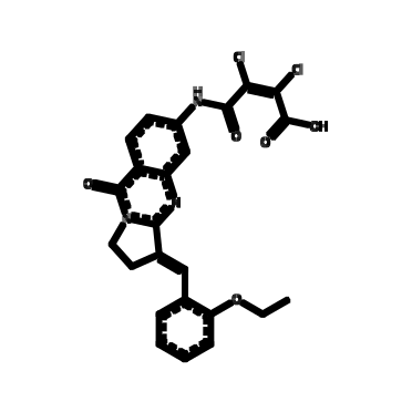 CCOc1ccccc1C=C1CCn2c1nc1cc(NC(=O)/C(Cl)=C(/Cl)C(=O)O)ccc1c2=O